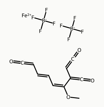 COC(=CC=CC=C=O)C(=C=O)C=C=O.F[B-](F)(F)F.F[B-](F)(F)F.[Fe+2]